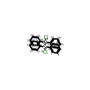 Cl[Si](c1ccccc1)(c1ccccc1)[Si](Cl)(c1ccccc1)c1ccccc1